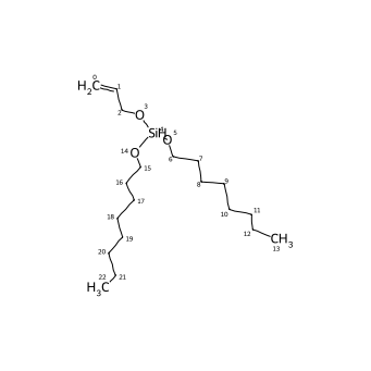 C=CCO[SiH](OCCCCCCCC)OCCCCCCCC